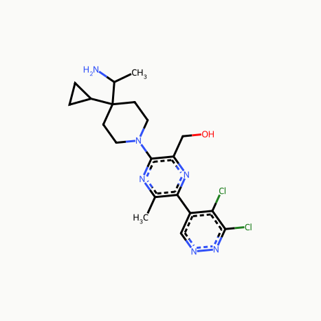 Cc1nc(N2CCC(C(C)N)(C3CC3)CC2)c(CO)nc1-c1cnnc(Cl)c1Cl